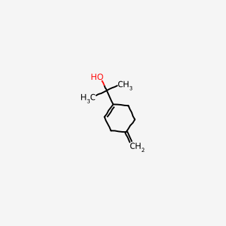 C=C1CC=C(C(C)(C)O)CC1